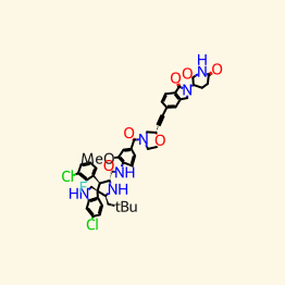 COc1cc(C(=O)N2CCO[C@@H](C#Cc3ccc4c(c3)CN(C3CCC(=O)NC3=O)C4=O)C2)ccc1NC(=O)[C@@H]1N[C@@H](CC(C)(C)C)[C@@]2(CNc3cc(Cl)ccc32)[C@H]1c1cccc(Cl)c1F